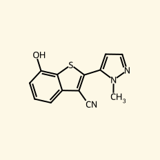 Cn1nccc1-c1sc2c(O)cccc2c1C#N